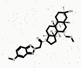 COC[C@H]1C[C@H]2C[C@](C)(O)CC[C@]2(C)[C@H]2CC[C@]3(C)[C@@H](C(=O)Cn4nc5ccc(OC)cc5n4)CC[C@H]3[C@H]12